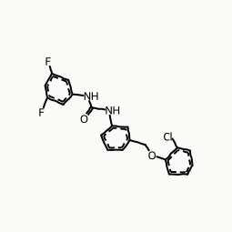 O=C(Nc1cc(F)cc(F)c1)Nc1cccc(COc2ccccc2Cl)c1